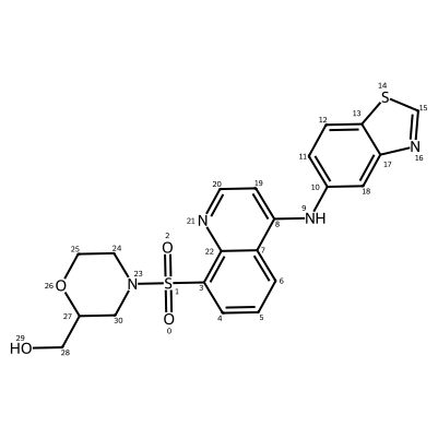 O=S(=O)(c1cccc2c(Nc3ccc4scnc4c3)ccnc12)N1CCOC(CO)C1